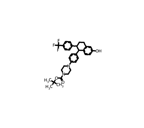 CC(C)(C)OC(=O)N1CCN(c2ccc(C3c4ccc(O)cc4CCC3c3ccc(C(F)(F)F)cc3)cc2)CC1